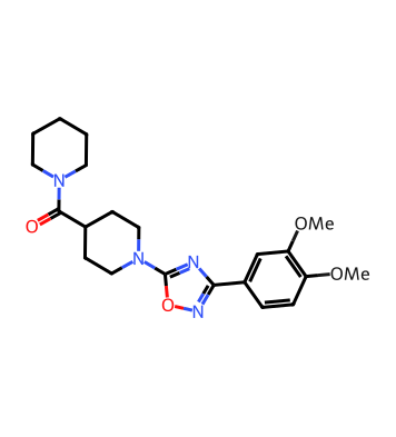 COc1ccc(-c2noc(N3CCC(C(=O)N4CCCCC4)CC3)n2)cc1OC